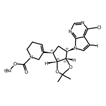 CC(C)(C)OC(=O)N1CCC=C([C@H]2C[C@@H](n3cc(I)c4c(Cl)ncnc43)[C@@H]3OC(C)(C)O[C@@H]32)C1